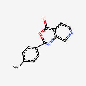 COc1ccc(-c2nc3cnccc3c(=O)o2)cc1